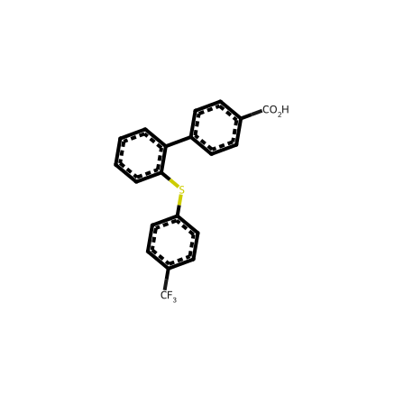 O=C(O)c1ccc(-c2ccccc2Sc2ccc(C(F)(F)F)cc2)cc1